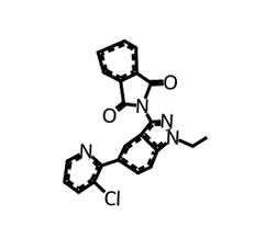 CCn1nc(N2C(=O)c3ccccc3C2=O)c2cc(-c3ncccc3Cl)ccc21